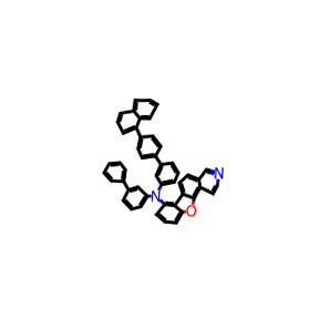 c1ccc(-c2cccc(N(c3cccc(-c4ccc(-c5cccc6ccccc56)cc4)c3)c3cccc4oc5c6ccncc6ccc5c34)c2)cc1